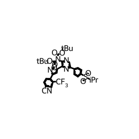 CC(C)S(=O)(=O)c1ccc(-c2cnc(N(C(=O)OC(C)(C)C)C(=O)OC(C)(C)C)c(-c3cc(-c4ccc(C#N)cc4C(F)(F)F)no3)n2)cc1